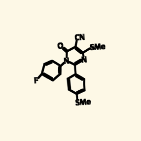 CSc1ccc(-c2nc(SC)c(C#N)c(=O)n2-c2ccc(F)cc2)cc1